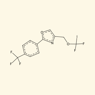 FC(F)(I)OCc1coc(-c2ccc(C(F)(F)F)cc2)n1